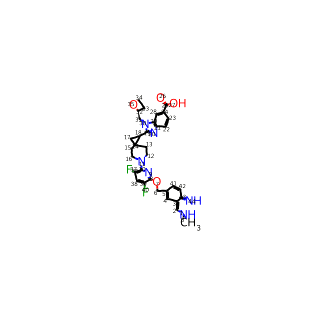 CN/C=C1/C=C(COc2nc(N3CCC4(CC3)CC4c3nc4ccc(C(=O)O)cc4n3C[C@@H]3CCO3)c(F)cc2F)C=CC1=N